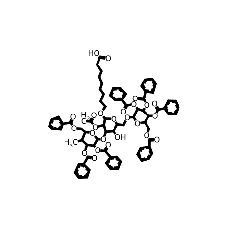 CC(=O)OC1C(OCCCCCCCCC(=O)O)OC(COC2OC(COC(=O)c3ccccc3)C(OC(=O)c3ccccc3)C(OC(=O)c3ccccc3)C2OC(=O)c2ccccc2)C(O)C1OC1OC(COC(=O)c2ccccc2)C(C)C(OC(=O)c2ccccc2)C1OC(=O)c1ccccc1